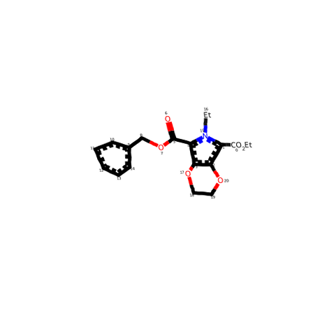 CCOC(=O)c1c2c(c(C(=O)OCc3ccccc3)n1CC)OCCO2